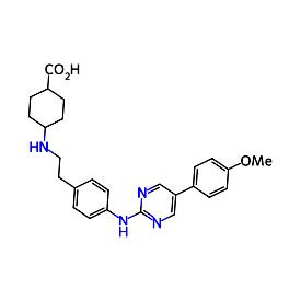 COc1ccc(-c2cnc(Nc3ccc(CCNC4CCC(C(=O)O)CC4)cc3)nc2)cc1